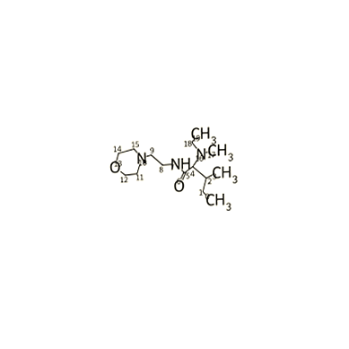 CCC(C)C(C(=O)NCCN1CCOCC1)N(C)CC